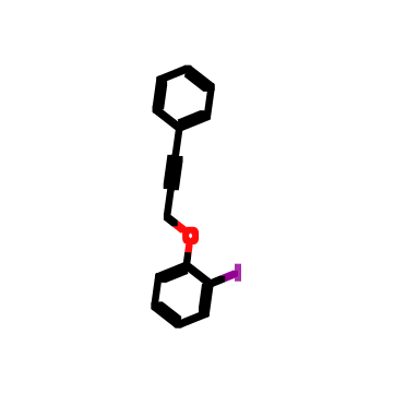 Ic1ccccc1OCC#Cc1ccccc1